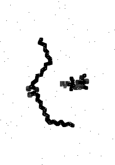 CCC(C)(N)O.CCCCCC/C=C\CCCCCCCC(=O)OC(=O)CCCCCCC/C=C\CCCCCC.COS(=O)(=O)OC